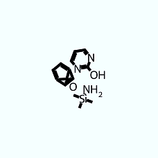 C[Si](C)(C)N.O=C1C2=CC=C1C=C2.Oc1ncccn1